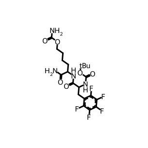 CC(C)(C)OC(=O)NC(Cc1c(F)c(F)c(F)c(F)c1F)C(=O)NC(CCCCOC(N)=O)C(N)=O